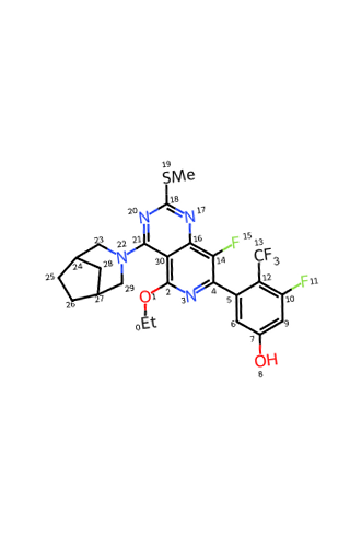 CCOc1nc(-c2cc(O)cc(F)c2C(F)(F)F)c(F)c2nc(SC)nc(N3CC4CCC(C4)C3)c12